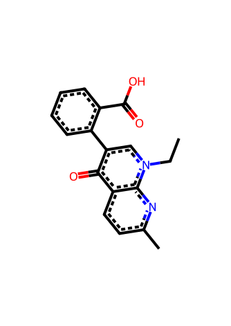 CCn1cc(-c2ccccc2C(=O)O)c(=O)c2ccc(C)nc21